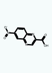 O=C(O)c1cnc2cc([N+](=O)[O-])ccc2n1